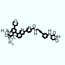 Cc1ccc2cc(-c3ccc(C(=O)NCC#Cc4cccc(NC5CCC(=O)NC5=O)c4)nc3)ncc2c1-c1cc(C2CCOCC2)cc2c1cc(C)c(=O)n2C